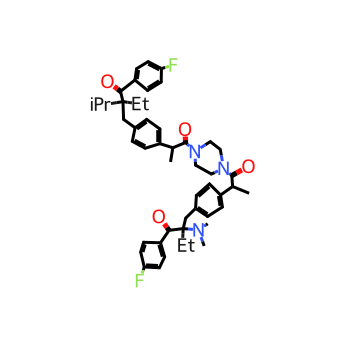 CCC(Cc1ccc(C(C)C(=O)N2CCN(C(=O)C(C)c3ccc(CC(CC)(C(=O)c4ccc(F)cc4)N(C)C)cc3)CC2)cc1)(C(=O)c1ccc(F)cc1)C(C)C